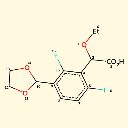 CCOC(C(=O)O)c1c(F)ccc(C2OCCO2)c1F